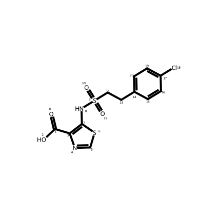 O=C(O)c1ncsc1NS(=O)(=O)CCc1ccc(Cl)cc1